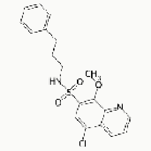 COc1c(S(=O)(=O)NCCCc2ccccc2)cc(Cl)c2cccnc12